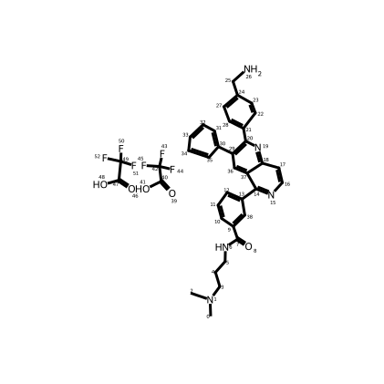 CN(C)CCCNC(=O)c1cccc(-c2nccc3nc(-c4ccc(CN)cc4)c(-c4ccccc4)cc23)c1.O=C(O)C(F)(F)F.O=C(O)C(F)(F)F